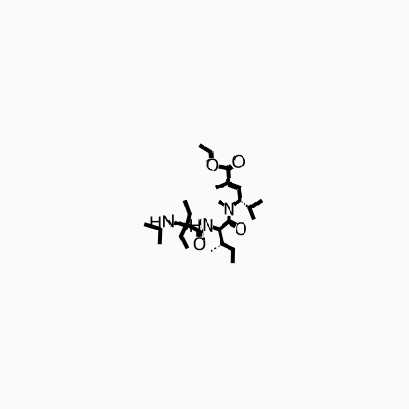 CCOC(=O)/C(C)=C/[C@H](C(C)C)N(C)C(=O)C(NC(=O)C(CC)(CC)NC(C)C)[C@@H](C)CC